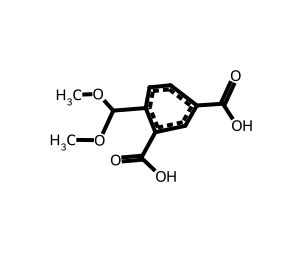 COC(OC)c1ccc(C(=O)O)cc1C(=O)O